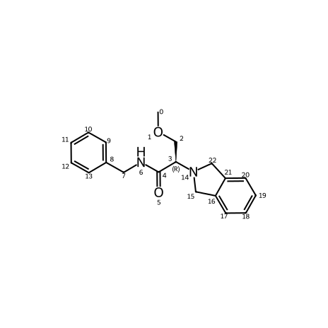 COC[C@H](C(=O)NCc1ccccc1)N1Cc2ccccc2C1